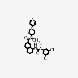 CN(C(=O)c1ccc2c(c1)C(NC(=O)Nc1cc(Cl)cc(Cl)c1)CCC2)C1CCN(c2ccncc2)CC1